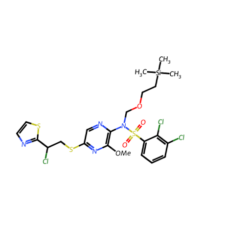 COc1nc(SCC(Cl)c2nccs2)cnc1N(COCC[Si](C)(C)C)S(=O)(=O)c1cccc(Cl)c1Cl